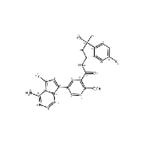 COc1ncc(-c2cc(C(F)(F)F)c3c(N)ncnn23)cc1C(=O)NCCC(C)(O)c1ccc(Cl)cc1